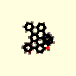 c1ccc(-c2ccccc2-c2c(-c3ccccc3)cc(-c3ccccc3)c(-c3c(-c4ccccc4)ccc4oc5ccccc5c34)c2-c2ccnnn2)cc1